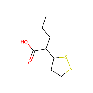 CCCC(C(=O)O)C1CCSS1